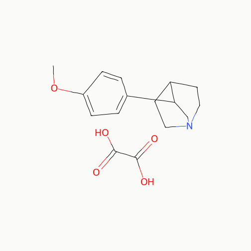 COc1ccc(C2CN3CCC2CC3)cc1.O=C(O)C(=O)O